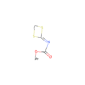 CC(C)OC(=O)N=C1SCS1